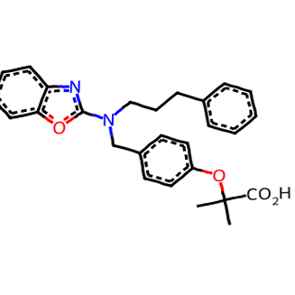 CC(C)(Oc1ccc(CN(CCCc2ccccc2)c2nc3ccccc3o2)cc1)C(=O)O